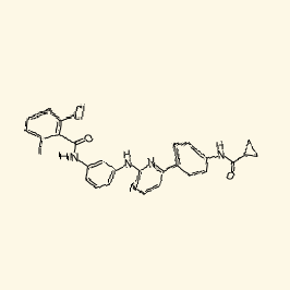 O=C(Nc1cccc(Nc2nccc(-c3ccc(NC(=O)C4CC4)cc3)n2)c1)c1c(Cl)cccc1I